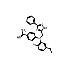 CCc1ccc(F)c(N(Cc2nc(-c3ccccc3)n[nH]2)c2ccc(C(=N)N)cc2)c1